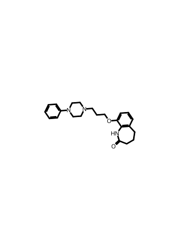 O=C1CCCc2cccc(OCCCN3CCN(c4ccccc4)CC3)c2N1